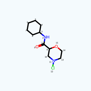 O=C(NC1CCCCC1)C1CN(Cl)CCO1